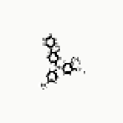 Cc1ccc(N(c2ccc(C)c(C)c2)c2ccc3c(c2)oc2ccccc23)cc1